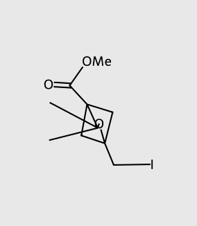 COC(=O)C12CC(CI)(C1)OC2(C)C